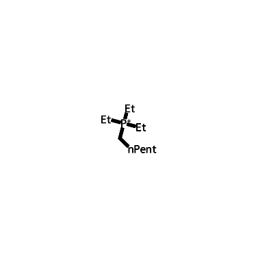 CCCCCC[P+](CC)(CC)CC